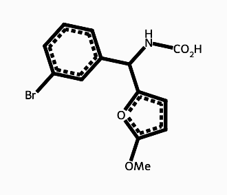 COc1ccc(C(NC(=O)O)c2cccc(Br)c2)o1